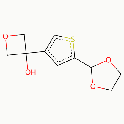 OC1(c2csc(C3OCCO3)c2)COC1